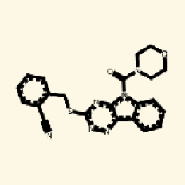 N#Cc1ccccc1CSc1nnc2c3ccccc3n(C(=O)N3CCOCC3)c2n1